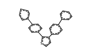 c1ccc(-c2ccc(-c3ccsc3-c3ccc(-c4ccccc4)cc3)cc2)cc1